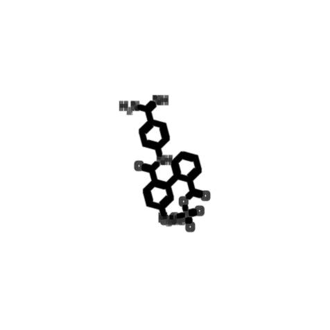 COc1ccc(C(=O)Nc2ccc(C(=N)N)cc2)c(-c2ccccc2C(=O)OS(C)(=O)=O)c1